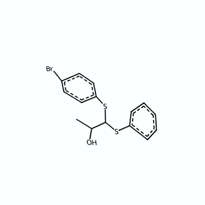 CC(O)C(Sc1ccccc1)Sc1ccc(Br)cc1